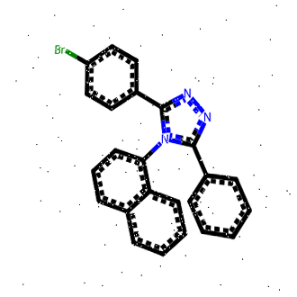 Brc1ccc(-c2nnc(-c3ccccc3)n2-c2cccc3ccccc23)cc1